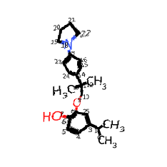 CC(C)c1ccc(O)c(OCC(C)(C)c2ccc(N3CCCC3)cc2)c1